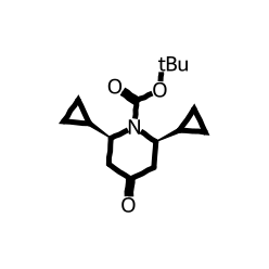 CC(C)(C)OC(=O)N1[C@@H](C2CC2)CC(=O)C[C@H]1C1CC1